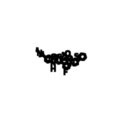 CCN1CC(c2ccc(Nc3cc(-c4cc(F)cc(N5CCc6c(sc7c6CCCC7)C5=O)c4COC(C)=O)cn(C)c3=O)nc2)C1